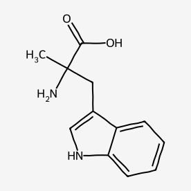 CC(N)(Cc1c[nH]c2ccccc12)C(=O)O